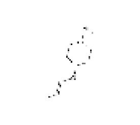 CC=COC1CCC(N)CC1